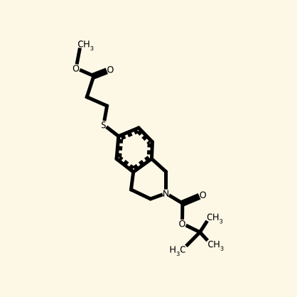 COC(=O)CCSc1ccc2c(c1)CCN(C(=O)OC(C)(C)C)C2